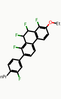 CCCc1ccc(-c2ccc3c(c2F)C(F)C(F)c2c-3ccc(OCC)c2F)cc1F